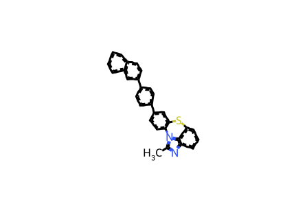 Cc1nc2cccc3c2n1-c1ccc(-c2ccc(-c4ccc5ccccc5c4)cc2)cc1S3